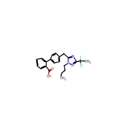 CCCCn1nc(C(C)(F)F)nc1Cc1ccc(-c2ccccc2C(=O)O)cc1